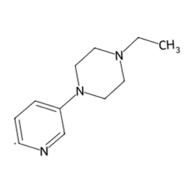 CCN1CCN(c2cc[c]nc2)CC1